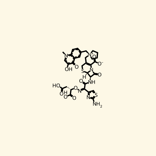 Cn1cc(O)c(=O)c2cc(C[N+]3(CC4=C(C(=O)[O-])N5C(=O)[C@@H](NC(=O)/C(=N\O[C@@H](CC(=O)O)C(=O)O)c6csc(N)n6)[C@H]5SC4)CCCC3)ccc21